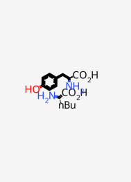 CCCC[C@H](N)C(=O)O.N[C@@H](Cc1ccc(O)cc1)C(=O)O